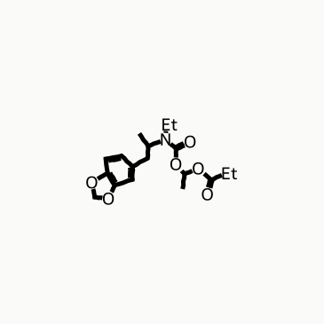 CCC(=O)OC(C)OC(=O)N(CC)C(C)Cc1ccc2c(c1)OCO2